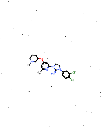 CCN1CCCC(Oc2cc(C)nc(N3CCN(c4ccc(Cl)c(Cl)c4)C3=N)c2)C1